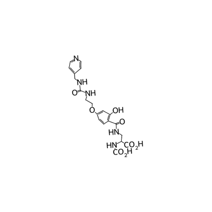 O=C(O)NC(CNC(=O)c1ccc(OCCNC(=O)NCc2ccncc2)cc1O)C(=O)O